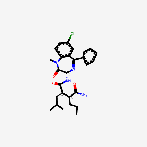 CCC[C@H](C(N)=O)[C@@H](CC(C)C)C(=O)N[C@H]1N=C(c2ccccc2)c2cc(Cl)ccc2N(C)C1=O